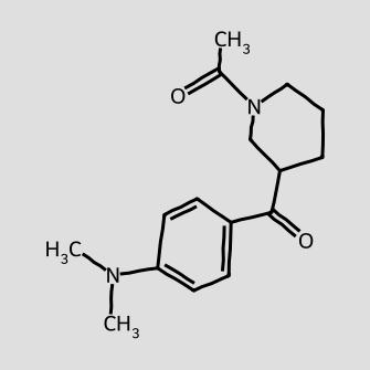 CC(=O)N1CCCC(C(=O)c2ccc(N(C)C)cc2)C1